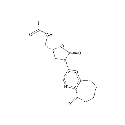 CC(=O)NC[C@H]1CN(c2cnc3c(c2)CCCCC3=O)C(=O)O1